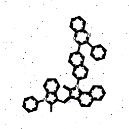 C=c1/c(=C\c2c(C)n(-c3ccccc3)c3ccccc23)c2ccc3ccccc3c2n1-c1ccc2cc(-c3nc4ccccc4nc3-c3ccccc3)ccc2c1